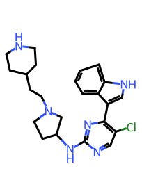 Clc1cnc(NC2CCN(CCC3CCNCC3)C2)nc1-c1c[nH]c2ccccc12